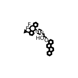 O[C@@H](COc1cccc2c1ccc1c3ccccc3ccc21)CN1CCN(C2c3ccccc3C(F)C(F)c3c(C4CC4)cccc32)CC1